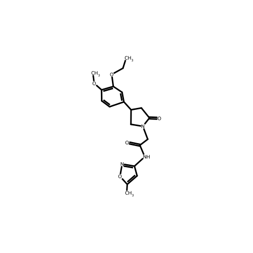 CCOc1cc(C2CC(=O)N(CC(=O)Nc3cc(C)on3)C2)ccc1OC